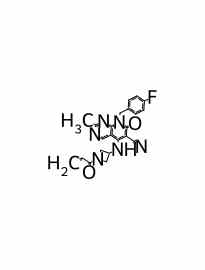 C=CC(=O)N1CC(Nc2c(C#N)c(=O)n(Cc3ccc(F)cc3)c3nc(C)ncc23)C1